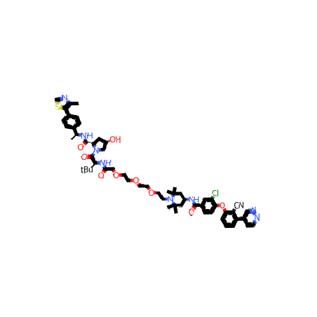 Cc1ncsc1-c1ccc([C@H](C)NC(=O)[C@@H]2C[C@@H](O)CN2C(=O)[C@@H](NC(=O)COCCOCCOCCN2C(C)(C)CC(NC(=O)c3ccc(Oc4cccc(-c5ccnnc5)c4C#N)c(Cl)c3)CC2(C)C)C(C)(C)C)cc1